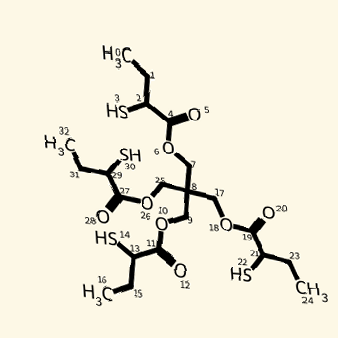 CCC(S)C(=O)OCC(COC(=O)C(S)CC)(COC(=O)C(S)CC)COC(=O)C(S)CC